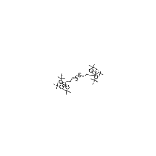 CC(C)(C)O[Si](CCCSSCCC[Si](OC(C)(C)C)(OC(C)(C)C)OC(C)(C)C)(OC(C)(C)C)OC(C)(C)C